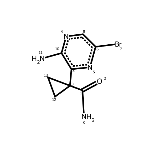 NC(=O)C1(c2nc(Br)cnc2N)CC1